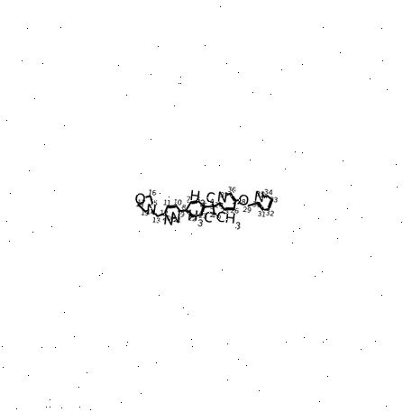 CC(C)C(C)(c1ccc(-c2ccc(CN3CCOCC3)nn2)cc1)c1ccc(OCc2ccccn2)cn1